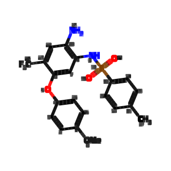 COc1ccc(Oc2cc(NS(=O)(=O)c3ccc(C)cc3)c(N)cc2C(F)(F)F)cc1